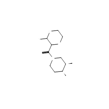 CO[C@H]1CCN(C(=O)C2NCCNC2N)C[C@H]1F